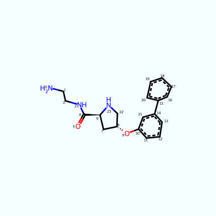 NCCNC(=O)[C@@H]1C[C@@H](Oc2cccc(-c3ccccc3)c2)CN1